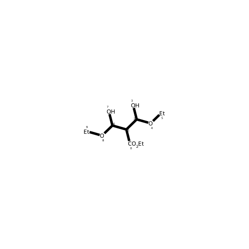 CCOC(=O)C(C(O)OCC)C(O)OCC